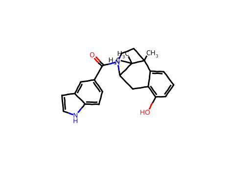 CC12CCN(C(=O)c3ccc4[nH]ccc4c3)C(Cc3c(O)cccc31)C2(C)C